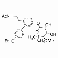 CCOc1ccc(-c2cc(O[C@@H]3OC(C)(C)[C@H](OC)[C@@H](O)[C@H]3O)ccc2CCNC(C)=O)cc1